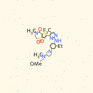 CCc1cc(N2CCC(N(C)CCOC)C2)ccc1Nc1ncc(C(F)(F)F)c(-c2cc3c(s2)C(=O)N(C)CCS3(=O)=O)n1